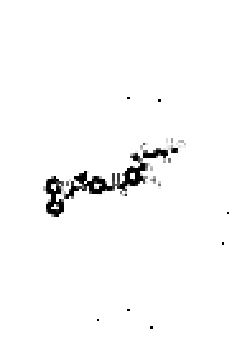 Cc1cc(C(=O)NCc2ccc(C3(NC(=O)Cn4c5ccccc5c5cccnc54)CC3)cc2)ccc1C(=O)N(C=O)C(C)CCC(=O)NC=O